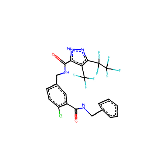 O=C(NCc1ccccc1)c1cc(CNC(=O)c2[nH]nc(C(F)(F)C(F)(F)F)c2C(F)(F)F)ccc1Cl